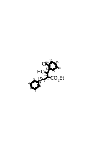 CCOC(=O)C(CSc1ccccc1)C(O)c1ccccc1Cl